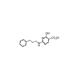 CCOC(=O)c1cnc(NCCCc2ccccc2)nc1O